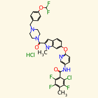 Cc1c(F)c(F)c(C(=O)Nc2ccc(Oc3ccc4cc(C(=O)N5CCN(Cc6ccc(OC(F)F)cc6)CC5)n(C)c4c3)nc2)c(Cl)c1F.Cl